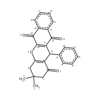 CC1(C)CC(=O)C2=C(C1)OC1=C(C(=O)c3cncnc3C1=O)C2c1ccccc1